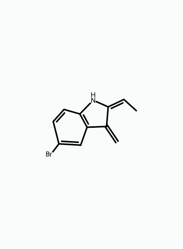 C=c1/c(=C\C)[nH]c2ccc(Br)cc12